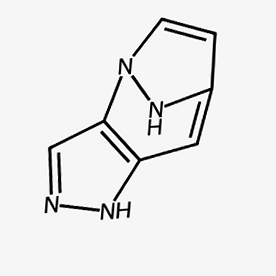 C1=CN2NC1=Cc1[nH]ncc12